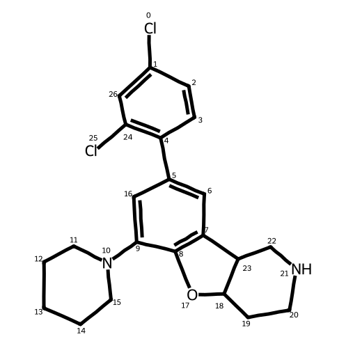 Clc1ccc(-c2cc3c(c(N4CCCCC4)c2)OC2CCNCC32)c(Cl)c1